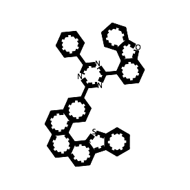 c1ccc(-c2nc(-c3ccc4c(ccc5ccc6ccc7c8ccccc8sc7c6c54)c3)nc(-c3cccc4oc5ccccc5c34)n2)cc1